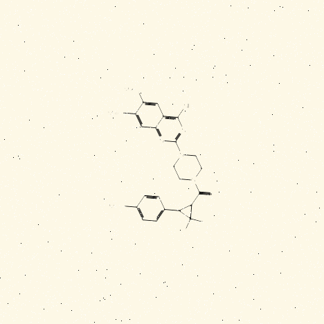 COc1ccc(C2C(C(=O)N3CCN(c4nc(N)c5cc(OC)c(OC)cc5n4)CC3)C2(C)C)cc1